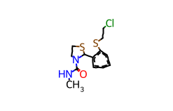 CNC(=O)N1CCSC1c1ccccc1SCCCl